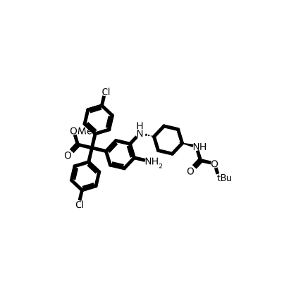 COC(=O)C(c1ccc(Cl)cc1)(c1ccc(Cl)cc1)c1ccc(N)c(N[C@H]2CC[C@H](NC(=O)OC(C)(C)C)CC2)c1